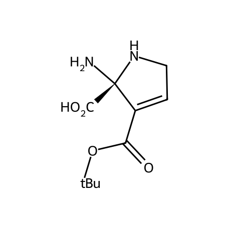 CC(C)(C)OC(=O)C1=CCN[C@]1(N)C(=O)O